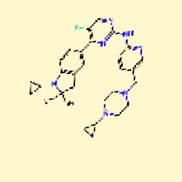 CCCC1(C#N)Cc2cc(-c3nc(Nc4ccc(CN5CCN(C6CC6)CC5)cn4)ncc3F)ccc2N1C1CC1